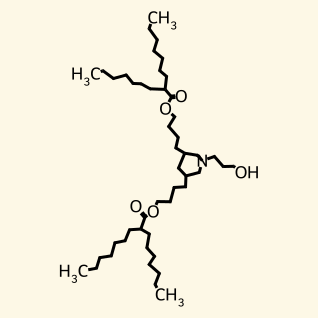 CCCCCCCC(CCCCCCC)C(=O)OCCCCC1CC(CCCCOC(=O)C(CCCCCCC)CCCCCCC)CN(CCCO)C1